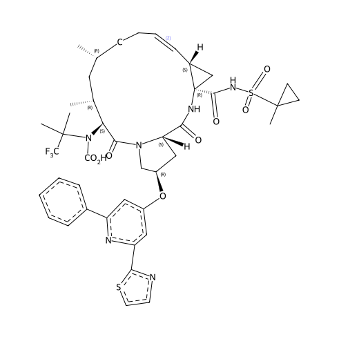 C[C@@H]1CC/C=C\[C@@H]2C[C@@]2(C(=O)NS(=O)(=O)C2(C)CC2)NC(=O)[C@@H]2C[C@@H](Oc3cc(-c4ccccc4)nc(-c4nccs4)c3)CN2C(=O)[C@@H](N(C(=O)O)C(C)(C)C(F)(F)F)[C@H](C)C1